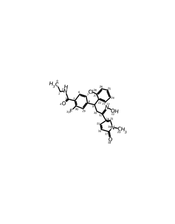 CCNC(=O)c1ccc(C(CC(=NO)c2ccc(=O)n(C)c2)c2ccccc2Cl)cc1F